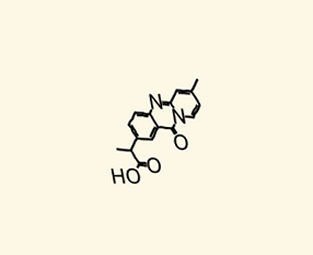 Cc1ccn2c(=O)c3cc(C(C)C(=O)O)ccc3nc2c1